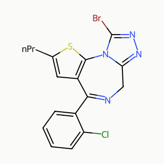 CCCc1cc2c(s1)-n1c(Br)nnc1CN=C2c1ccccc1Cl